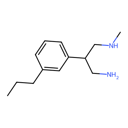 CCCc1cccc(C(CN)CNC)c1